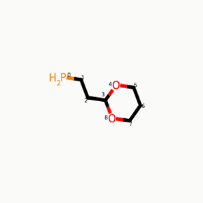 PCCC1OCCCO1